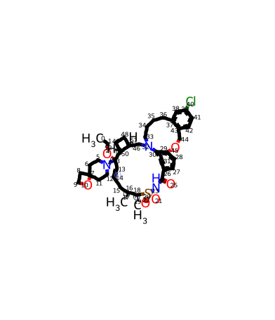 CCO[C@]1(N2CCC3(CCO3)CC2)/C=C/C[C@H](C)[C@@H](C)S(=O)(=O)NC(=O)c2ccc3c(c2)N(CCCCc2cc(Cl)ccc2CO3)C[C@@H]2CC[C@H]21